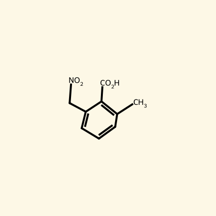 Cc1cccc(C[N+](=O)[O-])c1C(=O)O